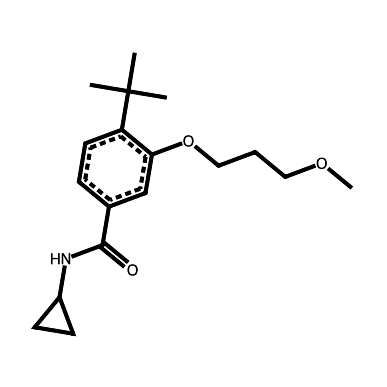 COCCCOc1cc(C(=O)NC2CC2)ccc1C(C)(C)C